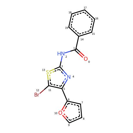 O=C(Nc1nc(-c2ccco2)c(Br)s1)c1ccccc1